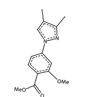 COC(=O)c1ccc(-n2cc(C)c(C)n2)cc1OC